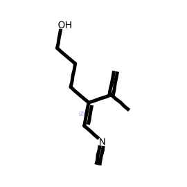 C=N/C=C(/CCCO)C(=C)C